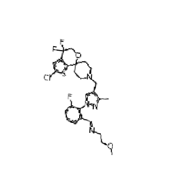 COCCN=Cc1cccc(F)c1-n1cc(CN2CCC3(CC2)OCC(F)(F)c2cc(Cl)sc23)c(C)n1